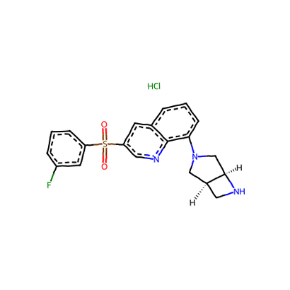 Cl.O=S(=O)(c1cccc(F)c1)c1cnc2c(N3C[C@@H]4CN[C@@H]4C3)cccc2c1